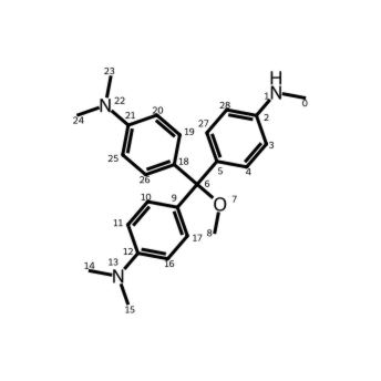 CNc1ccc(C(OC)(c2ccc(N(C)C)cc2)c2ccc(N(C)C)cc2)cc1